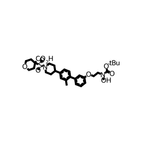 Cc1cc(C2CCN(S(=O)(=O)C3(C(=O)O)CCOCC3)CC2)ccc1-c1cccc(OCCN(O)C(=O)OC(C)(C)C)c1